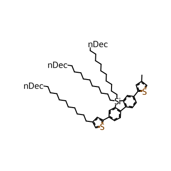 CCCCCCCCCCCCCCCCCCCCc1csc(-c2ccc3c(c2)[Si](CCCCCCCCCCCCCCCCCCCC)(CCCCCCCCCCCCCCCCCCCC)c2cc(-c4cc(C)cs4)ccc2-3)c1